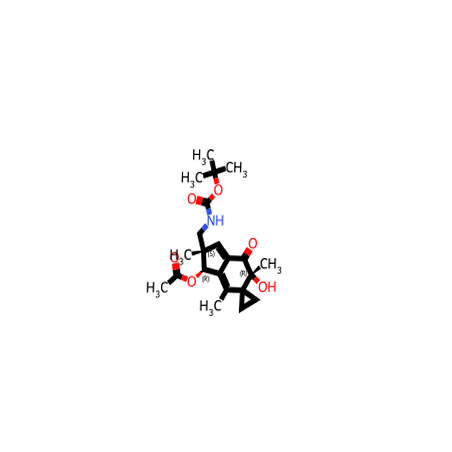 CC(=O)O[C@@H]1C2=C(C)C3(CC3)[C@@](C)(O)C(=O)C2=C[C@@]1(C)CNC(=O)OC(C)(C)C